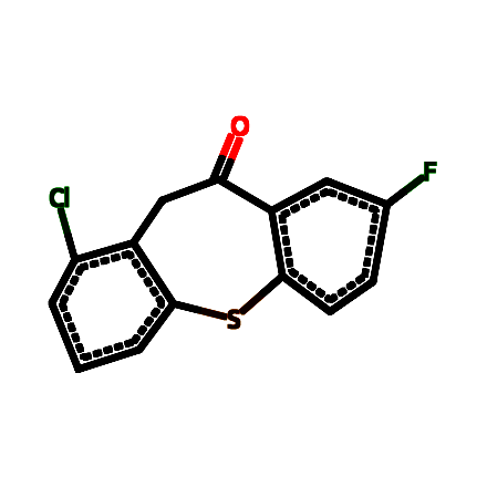 O=C1Cc2c(Cl)cccc2Sc2ccc(F)cc21